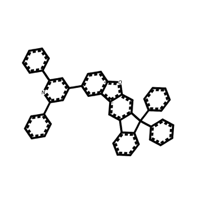 c1ccc(-c2cc(-c3ccc4oc5cc6c(cc5c4c3)-c3ccccc3C6(c3ccccc3)c3ccccc3)cc(-c3ccccc3)n2)cc1